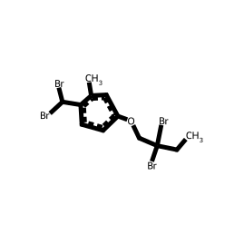 CCC(Br)(Br)COc1ccc(C(Br)Br)c(C)c1